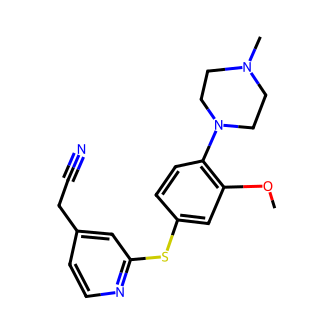 COc1cc(Sc2cc(CC#N)ccn2)ccc1N1CCN(C)CC1